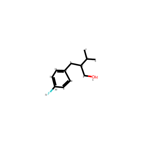 CC(C)C(CO)Cc1ccc(F)cc1